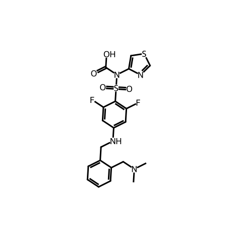 CN(C)Cc1ccccc1CNc1cc(F)c(S(=O)(=O)N(C(=O)O)c2cscn2)c(F)c1